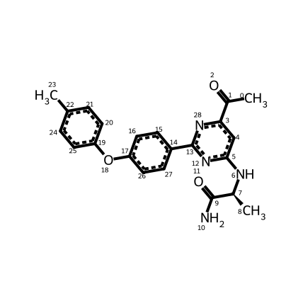 CC(=O)c1cc(N[C@@H](C)C(N)=O)nc(-c2ccc(Oc3ccc(C)cc3)cc2)n1